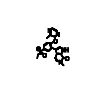 CCS(=O)(=O)c1ccc(Oc2nccnc2C)c(-c2c[nH]c3c(=O)n(C)ccc23)c1